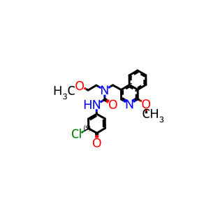 COCCN(Cc1cnc(OC)c2ccccc12)C(=O)NC1=C[C@H](Cl)C(=O)C=C1